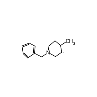 CC1[CH]CN(Cc2ccccc2)CC1